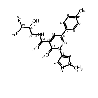 Cn1cc(-n2nc(-c3ccc(Cl)cc3)cc(C(=O)NC[C@@H](O)C(F)F)c2=O)cn1